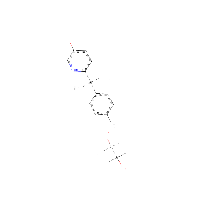 CC(C)C(C)(c1ccc(BOC(C)(C)C(C)(C)O)cc1)c1ccc(O)cn1